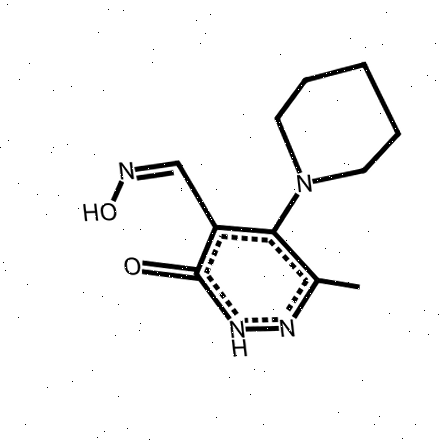 Cc1n[nH]c(=O)c(/C=N\O)c1N1CCCCC1